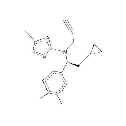 C#CCN(c1ncc(C)s1)[C@@H](CC1CC1)c1ccc(C)c(F)c1